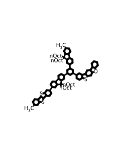 CCCCCCCCC1(CCCCCCCC)c2cc(C)ccc2-c2ccc(-c3cc(-c4ccc5c(c4)C(CCCCCCCC)(CCCCCCCC)c4cc(-c6ccc7c(c6)sc6c8ccc(C)cc8sc76)ccc4-5)cc(-c4ccc5sc6cc7oc8ccccc8c7cc6c5c4)c3)cc21